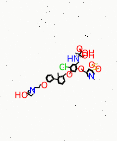 Cc1c(COc2cc(OCc3cncc(S(C)(=O)=O)c3)c(CN[C@@](C)(CO)C(=O)O)cc2Cl)cccc1-c1cccc(OCCCN2CC[C@@H](O)C2)c1